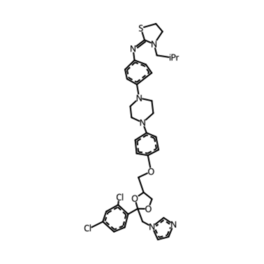 CC(C)CN1CCSC1=Nc1ccc(N2CCN(c3ccc(OCC4COC(Cn5ccnc5)(c5ccc(Cl)cc5Cl)O4)cc3)CC2)cc1